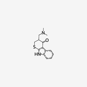 CN(C)CC1CSc2[nH]c3ccccc3c2C1=O